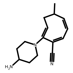 CC1\C=C/C=C(C#N)\C(N2CCC(N)CC2)=C\C1